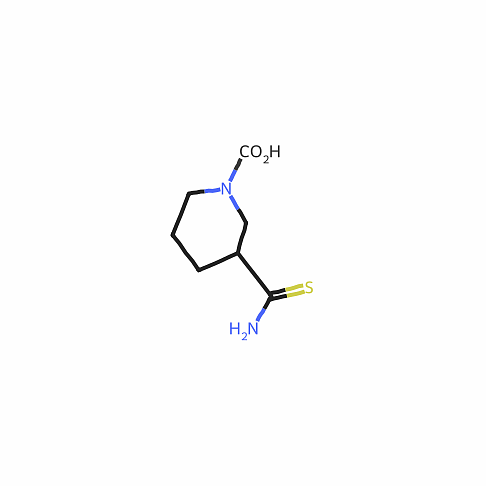 NC(=S)C1CCCN(C(=O)O)C1